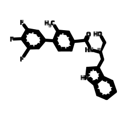 Cc1cc(C(=O)N[C@@H](CO)Cc2c[nH]c3ccccc23)ccc1-c1cc(F)c(F)c(F)c1